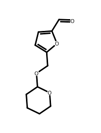 O=Cc1ccc(COC2CCCCO2)o1